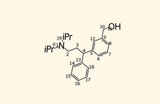 CC(C)N(CCC(c1[c]ccc(CO)c1)c1ccccc1)C(C)C